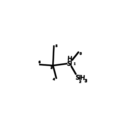 C[SiH]([SiH3])C(C)(C)C